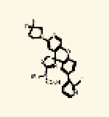 CC(C)(C)N(C(=O)O)C1=N[C@@]2(CS1)c1cc(-c3cccnc3F)ccc1Oc1cnc(N3CCC(F)(F)C3)cc12